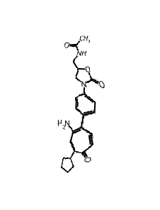 CC(=O)NCC1CN(c2ccc(-c3ccc(=O)c(C4CCCC4)cc3N)cc2)C(=O)O1